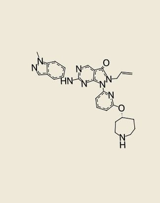 C=CCn1c(=O)c2cnc(Nc3ccc4c(cnn4C)c3)nc2n1-c1cccc(O[C@@H]2CCCNCC2)n1